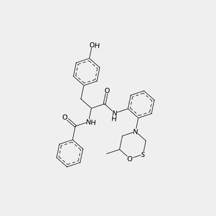 CC1CN(c2ccccc2NC(=O)C(Cc2ccc(O)cc2)NC(=O)c2ccccc2)CSO1